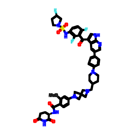 COc1cc(N2CC3(CN(CC4CCN(c5ccc(-c6cnc7[nH]cc(C(=O)c8c(F)ccc(NS(=O)(=O)N9CC[C@@H](F)C9)c8F)c7c6)cc5)CC4)C3)C2)ccc1C(=O)N[C@H]1CCC(=O)NC1=O